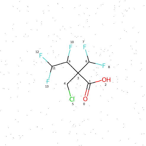 O=C(O)C(CCl)(C(F)F)C(F)C(F)F